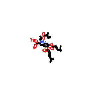 CCC(C)C(=O)OC(C)CN[C@@H](Cc1ccc(OC(=O)CCC(C)C)c(OC(=O)CCC(C)C)c1)C(=O)O